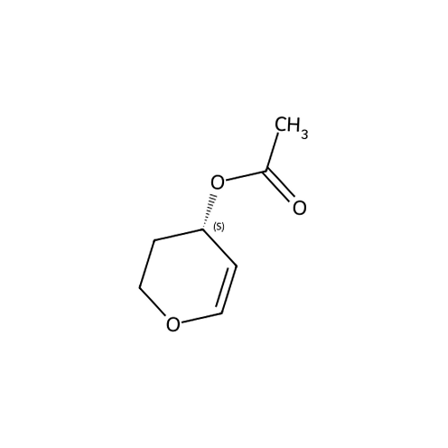 CC(=O)O[C@@H]1C=COCC1